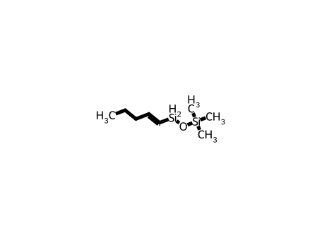 CCC/C=[C]/[SiH2]O[Si](C)(C)C